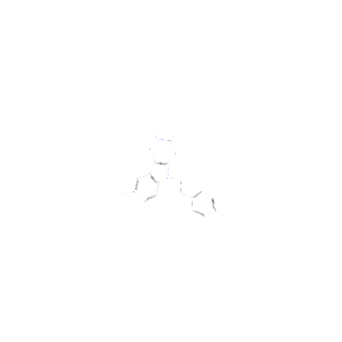 CC1Cc2c(c3cc(Cl)ccc3n2CCc2ccc(F)cc2)CN1C